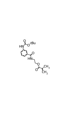 C=C(C)C(=O)OCCNC(=O)c1cccc(NC(=O)OC(C)(C)C)c1